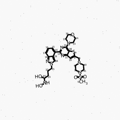 CS(=O)(=O)N1CCN(Cc2cc3nc(-c4cccc5nn(CCCC(O)NO)cc45)nc(N4CCOCC4)c3s2)CC1